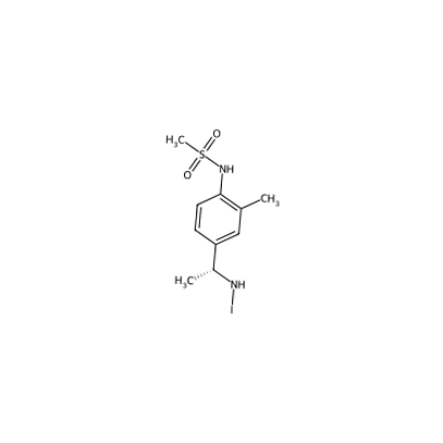 Cc1cc([C@@H](C)NI)ccc1NS(C)(=O)=O